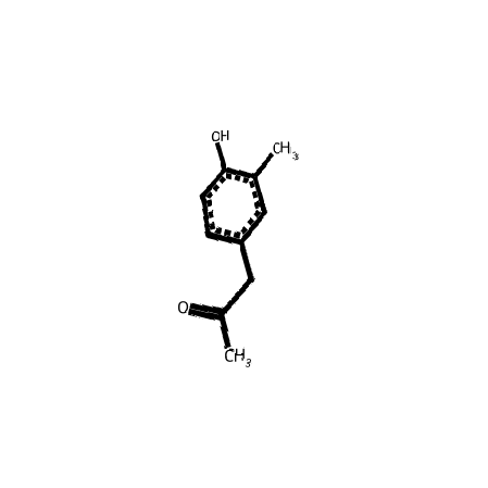 CC(=O)Cc1ccc(O)c(C)c1